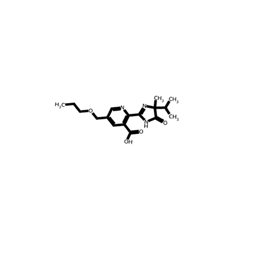 CCCOCc1cnc(C2=NC(C)(C(C)C)C(=O)N2)c(C(=O)O)c1